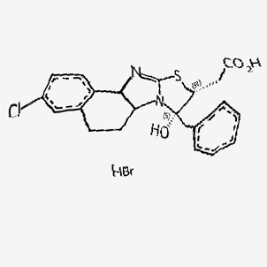 Br.O=C(O)C[C@H]1SC2=NC3c4ccc(Cl)cc4CCC3N2[C@]1(O)c1ccccc1